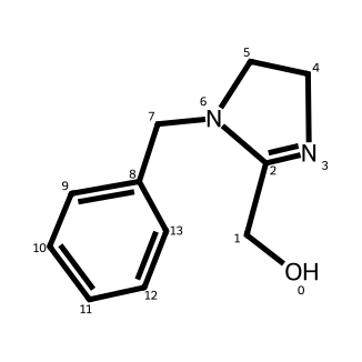 OCC1=NCCN1Cc1ccccc1